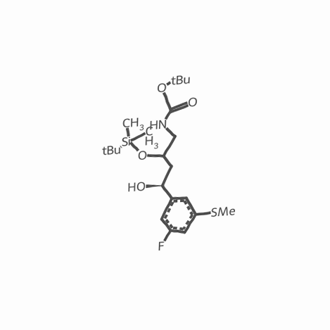 CSc1cc(F)cc([C@@H](O)CC(CNC(=O)OC(C)(C)C)O[Si](C)(C)C(C)(C)C)c1